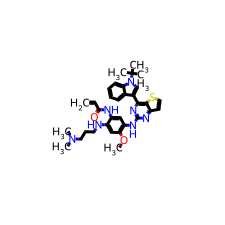 C=CC(=O)Nc1cc(Nc2nc(-c3cn(C(C)(C)C)c4ccccc34)c3sccc3n2)c(OC)cc1NCCCN(C)C